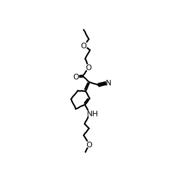 CCOCCOC(=O)/C(C#N)=C1/C=C(NCCCOC)CCC1